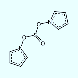 O=S(On1cccc1)On1cccc1